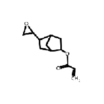 C=CC(=O)OC1CC2CC1CC2C1CO1